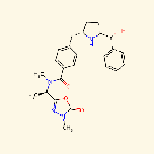 C[C@H](c1nn(C)c(=O)o1)N(C)C(=O)c1ccc(C[C@@H]2CC[C@H]([C@H](O)c3ccccc3)N2)cc1